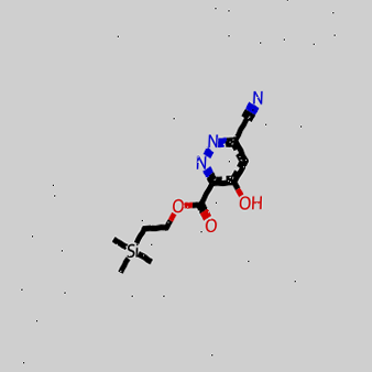 C[Si](C)(C)CCOC(=O)c1nnc(C#N)cc1O